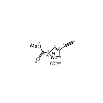 C#CC1=C[C@H](C(=O)OC)NC1.Cl